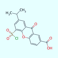 CC(C)c1cc(S(=O)(=O)Cl)c2oc3ccc(C(=O)O)cc3c(=O)c2c1